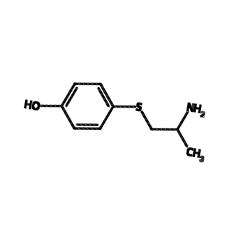 CC(N)CSc1ccc(O)cc1